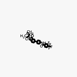 COC(=O)C(C(C)C)N1Cc2ccc(-c3ccc(NC(=O)c4ccc(C(F)(F)F)c(F)c4)cc3)cc2C1=O